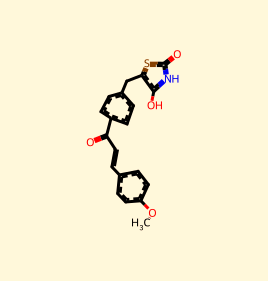 COc1ccc(C=CC(=O)c2ccc(Cc3sc(=O)[nH]c3O)cc2)cc1